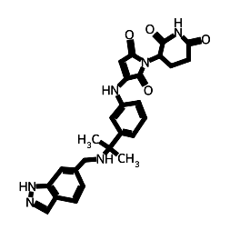 CC(C)(NCc1ccc2cn[nH]c2c1)c1cccc(NC2=CC(=O)N(C3CCC(=O)NC3=O)C2=O)c1